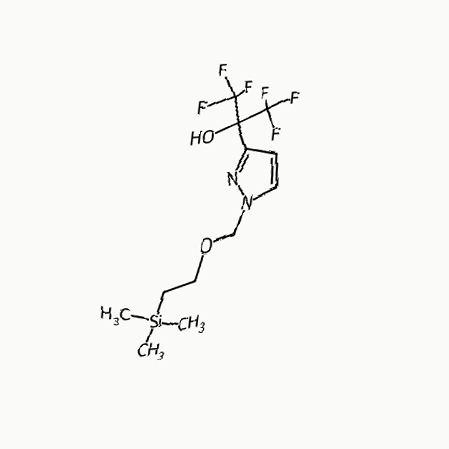 C[Si](C)(C)CCOCn1ccc(C(O)(C(F)(F)F)C(F)(F)F)n1